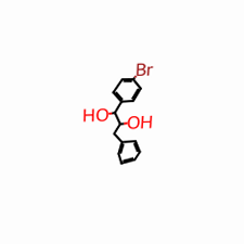 OC(Cc1ccccc1)C(O)c1ccc(Br)cc1